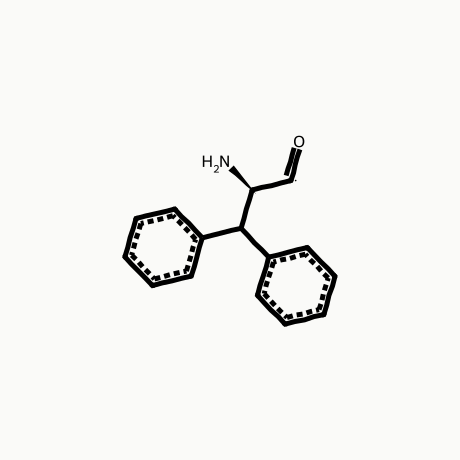 N[C@@H]([C]=O)C(c1ccccc1)c1ccccc1